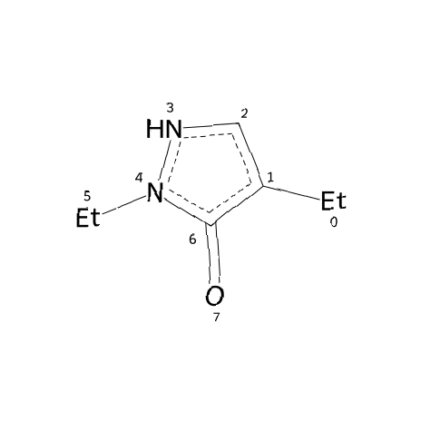 CCc1c[nH]n(CC)c1=O